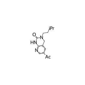 CC(=O)c1cnc2c(c1)CN(CCC(C)C)C(=O)N2